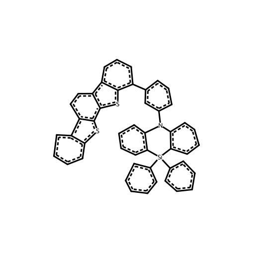 c1ccc([Si]2(c3ccccc3)c3ccccc3N(c3cccc(-c4cccc5c4sc4c5ccc5c6ccccc6sc54)c3)c3ccccc32)cc1